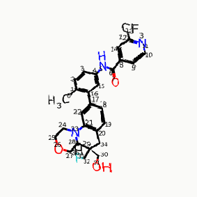 Cc1ccc(NC(=O)c2ccnc(C(F)(F)F)c2)cc1-c1ccc2c(c1)N1CCOC[C@@H]1[C@@](CO)(CF)C2